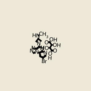 CNC1CN(c2nc3ncc(Br)cc3n3cnnc23)C1.O=C(O)C(O)C(O)C(=O)O